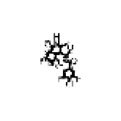 CN(C(=O)c1cc(F)c(Cl)c(F)c1)[C@H]1COCc2[nH]c(=O)c3cc(F)ccc3c21